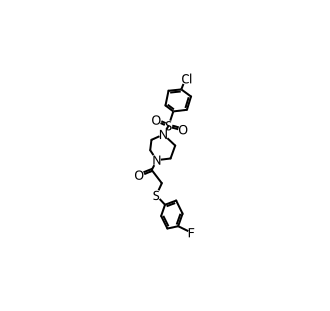 O=C(CSc1ccc(F)cc1)N1CCN(S(=O)(=O)c2ccc(Cl)cc2)CC1